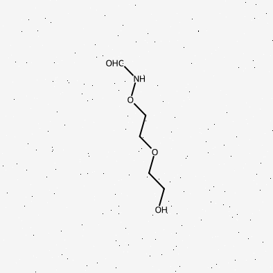 O=CNOCCOCCO